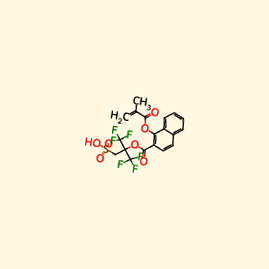 C=C(C)C(=O)Oc1c(C(=O)OC(CS(=O)(=O)O)(C(F)(F)F)C(F)(F)F)ccc2ccccc12